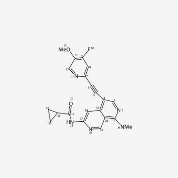 CNc1ncc(C#Cc2cc(F)c(OC)cn2)c2cc(NC(=O)C3CC3)ncc12